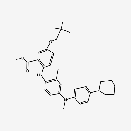 COC(=O)c1cc(OCC(C)(C)C)ccc1Nc1ccc(N(C)c2ccc(C3CCCCC3)cc2)cc1C